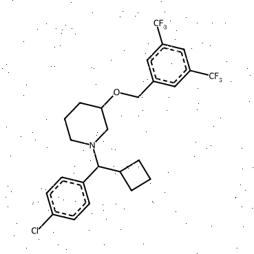 FC(F)(F)c1cc(COC2CCCN(C(c3ccc(Cl)cc3)C3CCC3)C2)cc(C(F)(F)F)c1